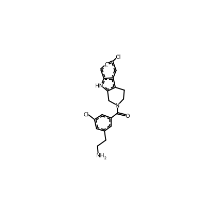 NCCc1cc(Cl)cc(C(=O)N2CCc3c([nH]c4ccc(Cl)cc34)C2)c1